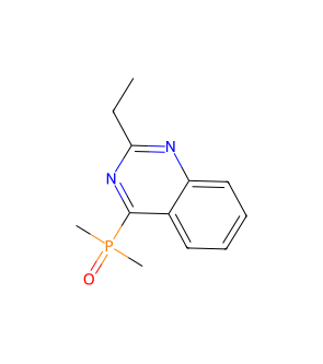 CCc1nc(P(C)(C)=O)c2ccccc2n1